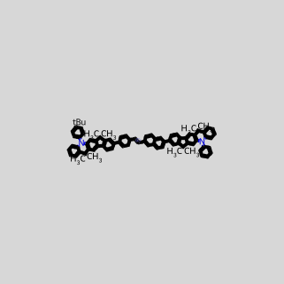 CC(C)(C)c1ccc(N2c3ccccc3C(C)(C)c3cc4c(cc32)C(C)(C)c2cc(C3=CCC(/C=C/c5ccc6cc(-c7ccc8c(c7)C(C)(C)c7cc9c(cc7-8)C(C)(C)c7ccccc7N9c7ccccc7)ccc6c5)C=C3)ccc2-4)cc1